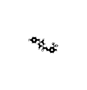 Cc1ccc(C=CC(=O)N2CC(C)N(Cc3ccc(F)cc3)CC2C)cc1[N+](=O)[O-]